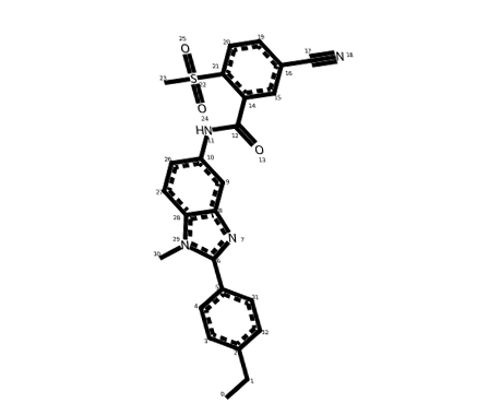 CCc1ccc(-c2nc3cc(NC(=O)c4cc(C#N)ccc4S(C)(=O)=O)ccc3n2C)cc1